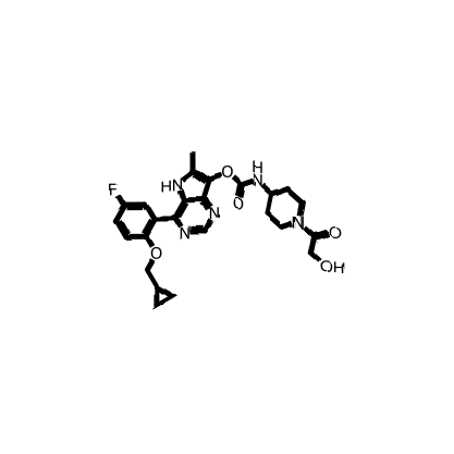 Cc1[nH]c2c(-c3cc(F)ccc3OCC3CC3)ncnc2c1OC(=O)NC1CCN(C(=O)CO)CC1